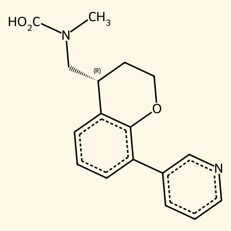 CN(C[C@@H]1CCOc2c(-c3cccnc3)cccc21)C(=O)O